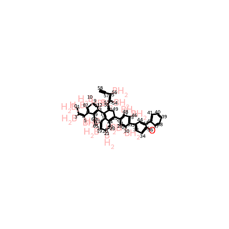 BC/C(B)=C(/B)c1c(B)c(B)c(B)c(C2=c3c(B)c(B)c(B)c(B)c3=C(c3c(B)c(B)c(-c4ccc5oc6ccccc6c5c4)c(B)c3B)C/C2=C(B)\C(B)=C(\B)C#C)c1C#C